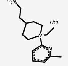 CC[N+]1(c2cccc(C)n2)CCC(CCN)CC1.Cl